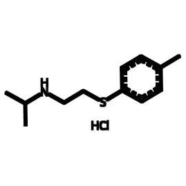 Cc1ccc(SCCNC(C)C)cc1.Cl